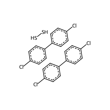 Clc1ccc(-c2ccc(Cl)cc2)cc1.Clc1ccc(-c2ccc(Cl)cc2)cc1.SS